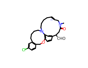 CN1C/C=C/CCCCN2CCCCc3cc(Cl)ccc3COc3ccc(cc32)C(C=O)CC1=O